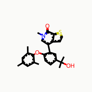 Cc1cc(C)c(Oc2ccc(C(C)(C)O)cc2-c2cn(C)c(=O)c3sccc23)c(C)c1